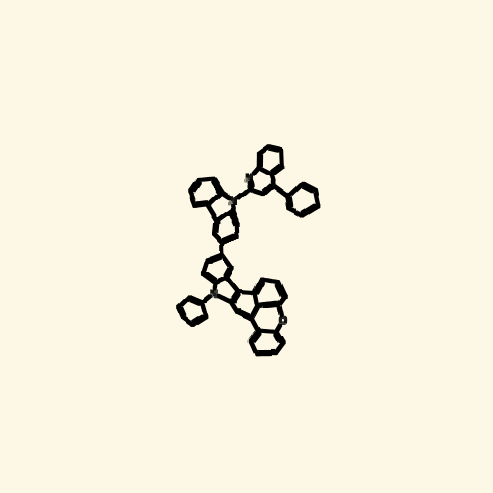 c1ccc(-c2cc(-n3c4ccccc4c4cc(-c5ccc6c(c5)c5c7cccc8c7c(cc5n6-c5ccccc5)-c5ccccc5O8)ccc43)nc3ccccc23)cc1